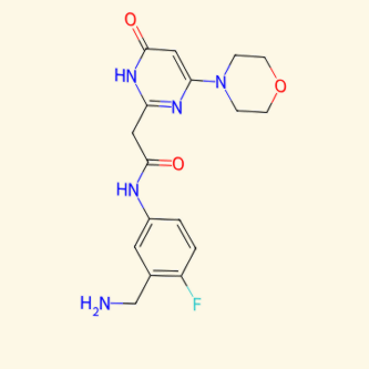 NCc1cc(NC(=O)Cc2nc(N3CCOCC3)cc(=O)[nH]2)ccc1F